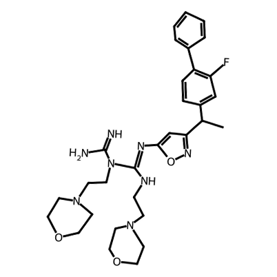 CC(c1ccc(-c2ccccc2)c(F)c1)c1cc(N=C(NCCN2CCOCC2)N(CCN2CCOCC2)C(=N)N)on1